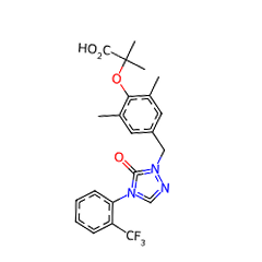 Cc1cc(Cn2ncn(-c3ccccc3C(F)(F)F)c2=O)cc(C)c1OC(C)(C)C(=O)O